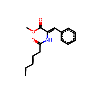 CCCCCC(=O)N/C(=C\c1ccccc1)C(=O)OC